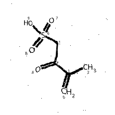 C=C(C)C(=O)CS(=O)(=O)O